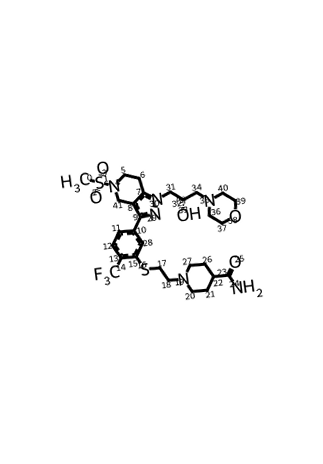 CS(=O)(=O)N1CCc2c(c(-c3ccc(C(F)(F)F)c(SCCN4CCC(C(N)=O)CC4)c3)nn2C[C@@H](O)CN2CCOCC2)C1